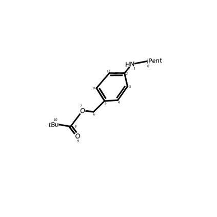 CCCC(C)Nc1ccc(COC(=O)C(C)(C)C)cc1